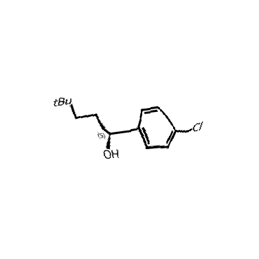 CC(C)(C)CC[C@H](O)c1ccc(Cl)cc1